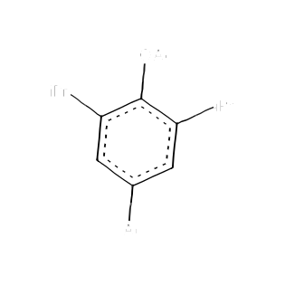 CC(=O)Oc1c(C(C)C)cc(C(C)=O)cc1C(C)C